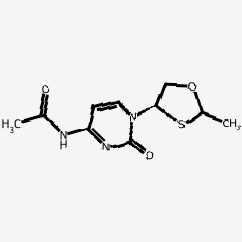 CC(=O)Nc1ccn([C@H]2COC(C)S2)c(=O)n1